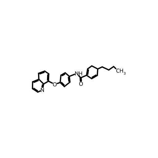 CCCCC1C=CC(C(=O)Nc2ccc(Oc3cccc4cccnc34)cc2)=CC1